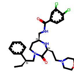 CC[C@H](CN1CC[C@@H](CNC(=O)c2ccc(Cl)c(Cl)c2)N[C@@H](CCN2CCOCC2)C1=O)c1ccccc1